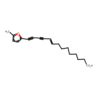 Cc1ccc(C#CC#CC=CCCCCCCCC(=O)O)o1